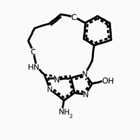 Nc1nc2nc3c1nc(O)n3Cc1cccc(c1)C/C=C/CCCN2